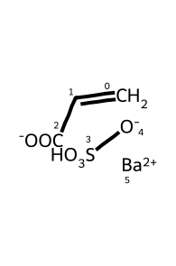 C=CC(=O)[O-].O=S(=O)([O-])O.[Ba+2]